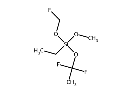 CC[Si](OC)(OCF)OC(C)(F)F